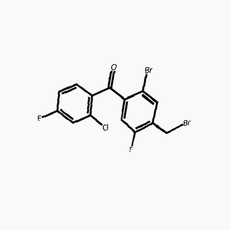 O=C(c1ccc(F)cc1Cl)c1cc(F)c(CBr)cc1Br